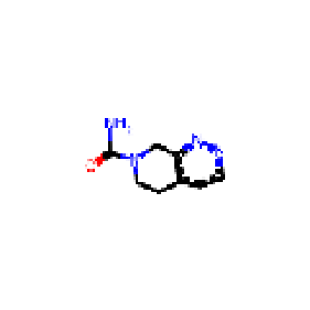 NC(=O)N1CCc2ccnnc2C1